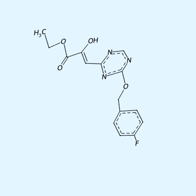 CCOC(=O)C(O)=Cc1ncnc(OCc2ccc(F)cc2)n1